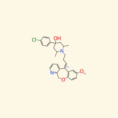 COc1ccc2c(c1)/C(=C/CCN1C(C)CC(O)(c3ccc(Cl)cc3)CC1C)c1cccnc1CO2